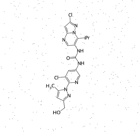 Cc1cc(CO)nn1-c1ncc(NC(=O)Nc2cnc3cc(Cl)nn3c2C(C)C)cc1Cl